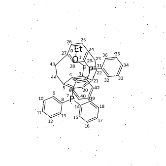 CCOCc1cc2c(P(c3ccccc3)c3ccccc3)cc1CCc1ccc(cc1P(c1ccccc1)c1ccccc1)CC2